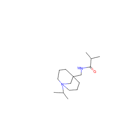 CC(C)C(=O)NCC12CCC[N+](C(C)C)(CCC1)C2